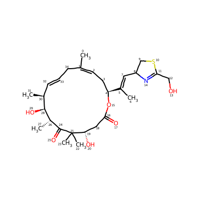 C/C1=C/C[C@@H](/C(C)=C/C2CSC(CO)=N2)OC(=O)C[C@H](O)C(C)(C)C(=O)[C@H](C)[C@@H](O)[C@@H](C)/C=C/C1